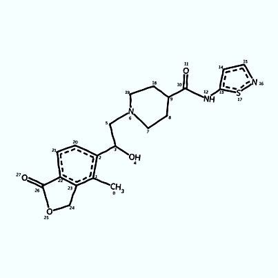 Cc1c(C(O)CN2CCC(C(=O)Nc3ccns3)CC2)ccc2c1COC2=O